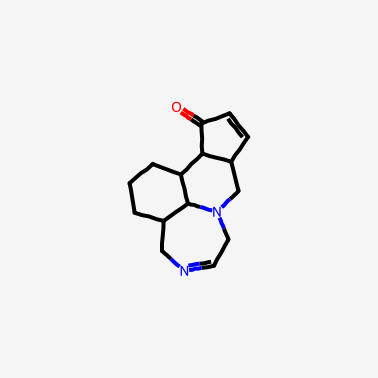 O=C1C=CC2CN3CC=NCC4CCCC(C12)C43